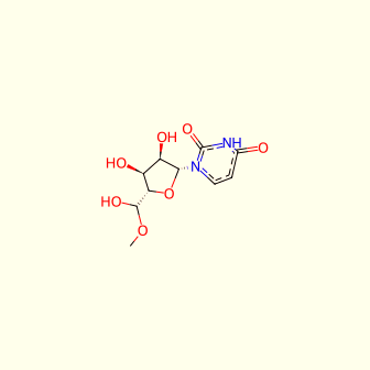 COC(O)[C@H]1O[C@@H](n2ccc(=O)[nH]c2=O)[C@H](O)[C@@H]1O